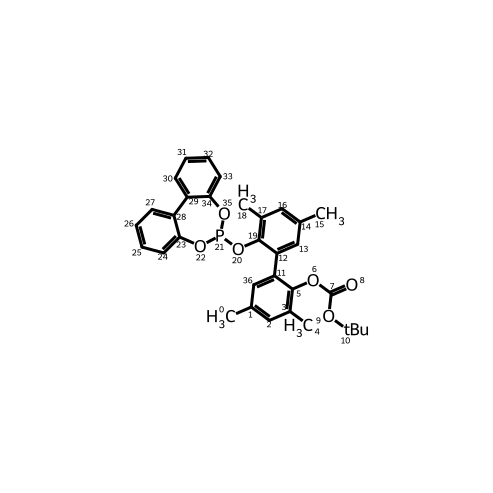 Cc1cc(C)c(OC(=O)OC(C)(C)C)c(-c2cc(C)cc(C)c2Op2oc3ccccc3c3ccccc3o2)c1